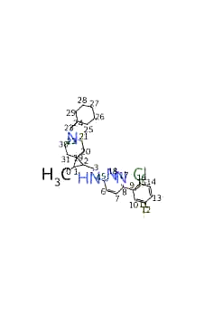 C[C@@H]1C(CNc2ccc(-c3cc(F)ccc3Cl)nn2)C12CCN(CC1CCCCC1)CC2